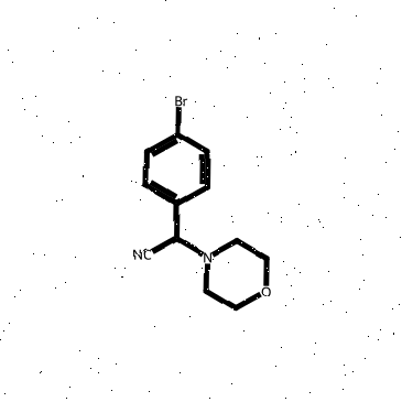 N#CC(c1ccc(Br)cc1)N1CCOCC1